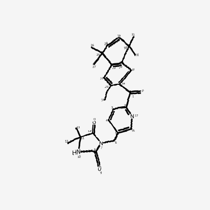 C=C(c1ccc(CN2C(=O)NC(C)(C)C2=O)cn1)c1cc2c(cc1C)C(C)(C)C=CC2(C)C